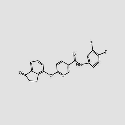 O=C(Nc1ccc(F)c(F)c1)c1ccc(Oc2cccc3c2CCC3=O)nc1